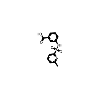 Cc1cccc(S(=O)(=O)Nc2cccc(C(=O)O)c2)n1